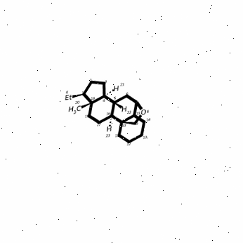 CC[C@H]1CC[C@H]2[C@@H]3CC4OC[C@@]5(CCCCC45)[C@H]3CC[C@]12C